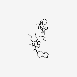 CCCC(NC(=O)Oc1ccc2ccccc2c1)C(=O)N1CCC2C1C(=O)CN2S(=O)(=O)c1cccc[n+]1[O-]